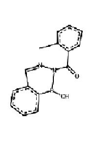 Cc1ccccc1C(=O)N1N=Cc2ccccc2B1O